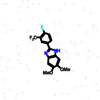 COc1cc2nc(-c3ccc(F)c(C(F)(F)F)c3)[nH]c2cc1OC